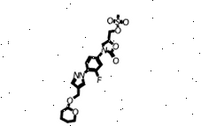 CS(=O)(=O)OCC1CN(c2ccc(-n3cc(COC4CCCCO4)cn3)c(F)c2)C(=O)O1